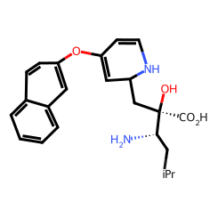 CC(C)C[C@H](N)[C@](O)(CC1C=C(Oc2ccc3ccccc3c2)C=CN1)C(=O)O